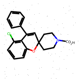 O=C(O)N1CCC2(C=C(c3ccccc3)c3c(Cl)cccc3O2)CC1